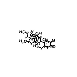 CC1C[C@H]2[C@@H]3CCC4=CC(=O)C(=O)C[C@]4(C)C3=CC(O)[C@]2(C)[C@@]1(O)CCO